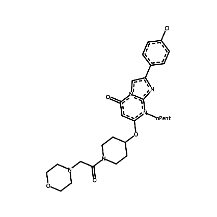 CCCCCn1c(OC2CCN(C(=O)CN3CCOCC3)CC2)cc(=O)n2cc(-c3ccc(Cl)cc3)nc12